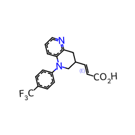 O=C(O)/C=C/C1Cc2ncccc2N(c2ccc(C(F)(F)F)cc2)C1